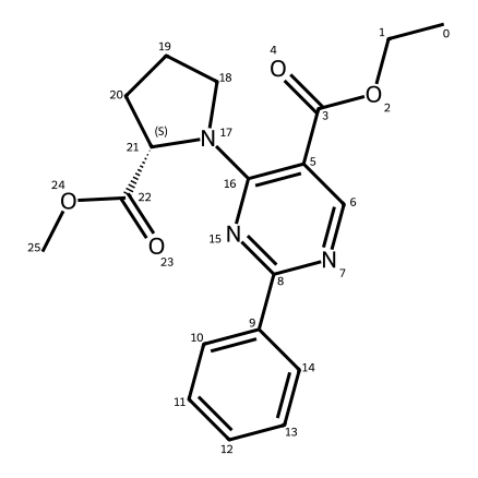 CCOC(=O)c1cnc(-c2ccccc2)nc1N1CCC[C@H]1C(=O)OC